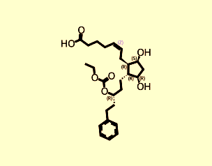 CCOC(=O)O[C@@H](CCc1ccccc1)CC[C@@H]1[C@@H](C/C=C\CCCC(=O)O)[C@@H](O)C[C@H]1O